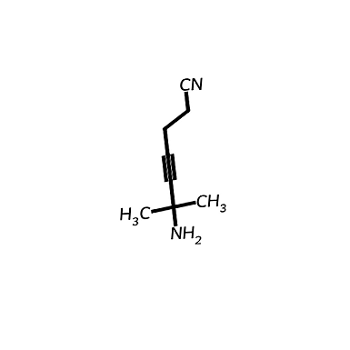 CC(C)(N)C#CCCC#N